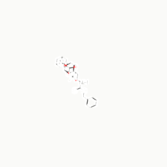 CC(C)(C)OC(=O)N1CC2CC(C1)N2c1ccc(CCNC(=O)OCc2ccccc2)cc1